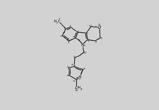 Cc1ccc2c(c1)c1c(n2CCc2ccc(C)nc2)CCOC1